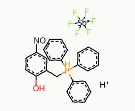 O=[N+]([O-])c1ccc(O)c(C[PH](c2ccccc2)(c2ccccc2)c2ccccc2)c1.[F][Sb-]([F])([F])([F])([F])[F].[H+]